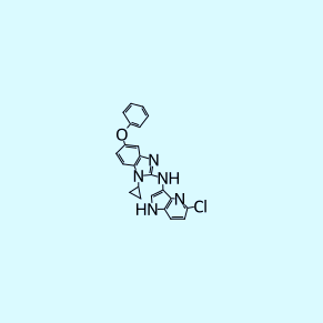 Clc1ccc2[nH]cc(Nc3nc4cc(Oc5ccccc5)ccc4n3C3CC3)c2n1